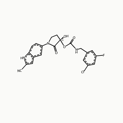 N#Cc1cc2cc(N3CC[C@](O)(OC(=O)NCc4cc(F)cc(Cl)c4)C3=O)ccc2[nH]1